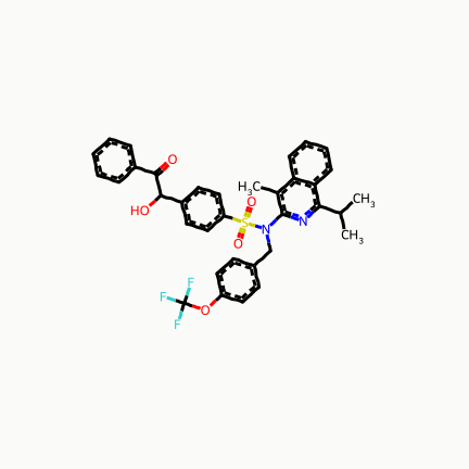 Cc1c(N(Cc2ccc(OC(F)(F)F)cc2)S(=O)(=O)c2ccc(C(O)C(=O)c3ccccc3)cc2)nc(C(C)C)c2ccccc12